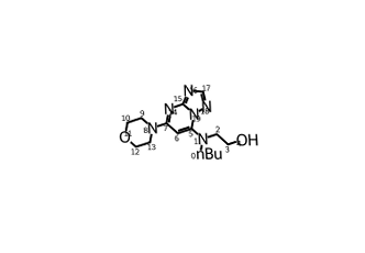 CCCCN(CCO)c1cc(N2CCOCC2)nc2ncnn12